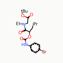 CCN(CC(=O)OC(C)(C)C)C(=O)C(CC(C)C)OC(=O)Nc1ccc(Br)cc1